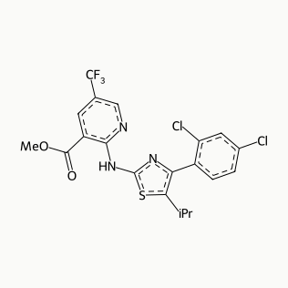 COC(=O)c1cc(C(F)(F)F)cnc1Nc1nc(-c2ccc(Cl)cc2Cl)c(C(C)C)s1